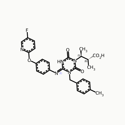 Cc1ccc(Cn2c(=O)n([C@@H](C)[C@@H](C)C(=O)O)c(=O)[nH]/c2=N\c2ccc(Oc3ccc(F)cn3)cc2)cc1